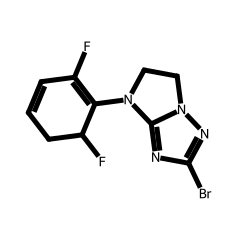 FC1=C(N2CCn3nc(Br)nc32)C(F)CC=C1